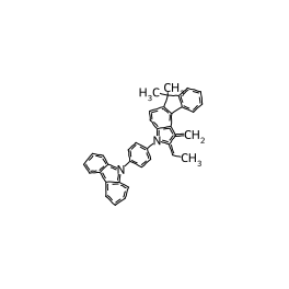 C=c1/c(=C\C)n(-c2ccc(-n3c4ccccc4c4ccccc43)cc2)c2ccc3c(c12)-c1ccccc1C3(C)C